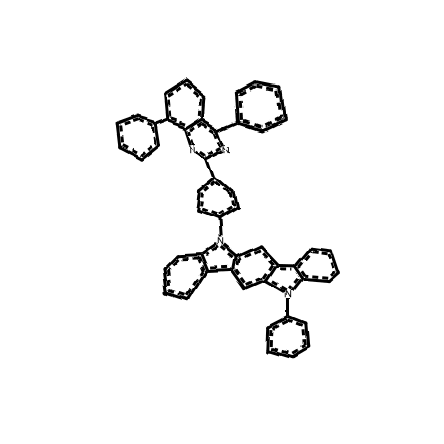 c1ccc(-c2nc(-c3ccc(-n4c5ccccc5c5cc6c(cc54)c4ccccc4n6-c4ccccc4)cc3)nc3c(-c4ccccc4)cccc23)cc1